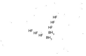 B.B.F.F.F.F.F.F